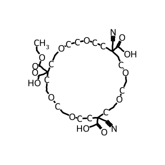 CCOC(=O)C1(C(=O)O)CCOCCOCCC(C#N)(C(=O)O)CCOCCOCCC(C#N)(C(=O)O)CCOCCOCC1